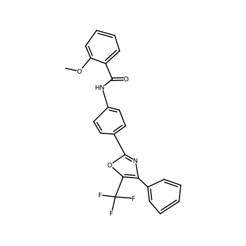 COc1ccccc1C(=O)Nc1ccc(-c2nc(-c3ccccc3)c(C(F)(F)F)o2)cc1